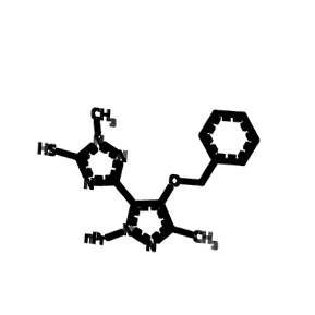 CCCn1nc(C)c(OCc2ccccc2)c1-c1nc(S)n(C)n1